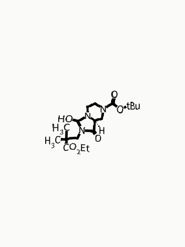 CCOC(=O)C(C)(C)CN1C(=O)[C@@H]2CN(C(=O)OC(C)(C)C)CCN2C1O